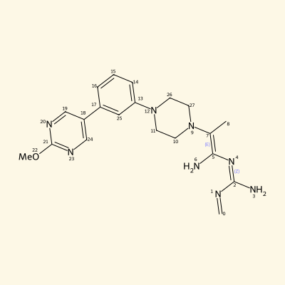 C=N/C(N)=N\C(N)=C(/C)N1CCN(c2cccc(-c3cnc(OC)nc3)c2)CC1